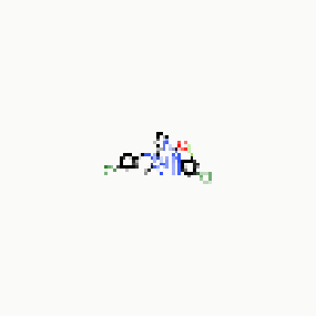 Cc1nnc(C2CCCN2C(=O)Nc2ccc(Cl)cc2F)n1Cc1ccc(Cl)cc1